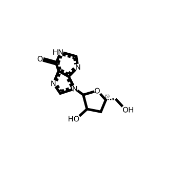 O=c1[nH]cnc2c1ncn2C1O[C@H](CO)CC1O